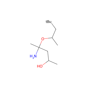 CC(O)CC(C)(N)OC(C)CC(C)(C)C